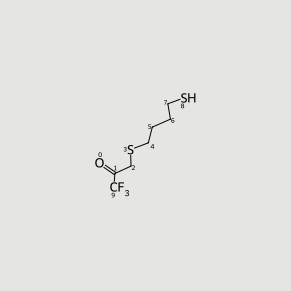 O=C(CSCCCCS)C(F)(F)F